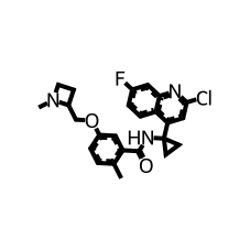 Cc1ccc(OCC2CCN2C)cc1C(=O)NC1(c2cc(Cl)nc3cc(F)ccc23)CC1